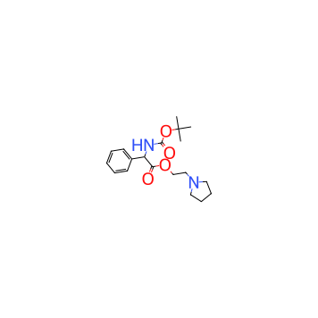 CC(C)(C)OC(=O)NC(C(=O)OCCN1CCCC1)c1ccccc1